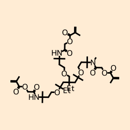 C=C(C)C(=O)OCC(=O)NC(C)(C)CCOCC(CC)(CC(C)(C)OCCC(C)(C)N(C)C(=O)COC(=O)C(=C)C)CC(C)(CC)OCCC(C)(C)NC(=O)COC(=O)C(=C)C